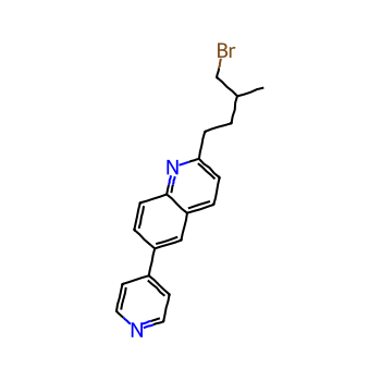 CC(CBr)CCc1ccc2cc(-c3ccncc3)ccc2n1